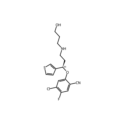 N#Cc1cc(F)c(Cl)cc1O[C@H](CCNCCCO)c1ccsc1